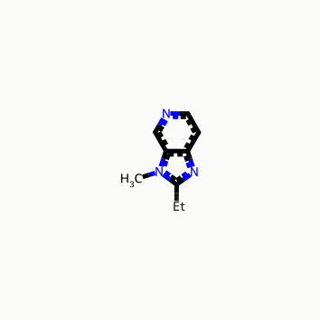 CCc1nc2ccncc2n1C